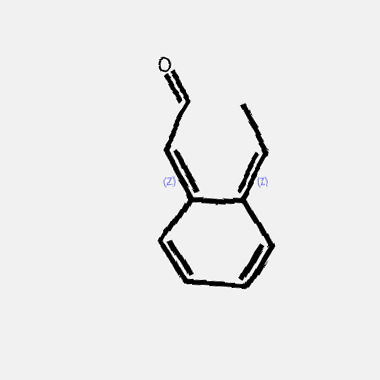 C/C=c1/cccc/c1=C/C=O